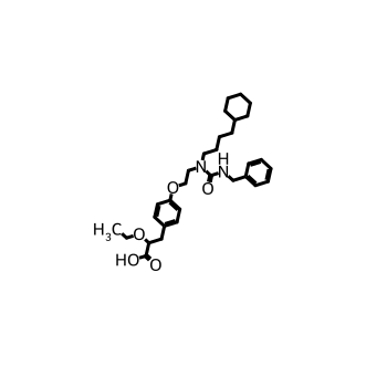 CCOC(Cc1ccc(OCCN(CCCCC2CCCCC2)C(=O)NCc2ccccc2)cc1)C(=O)O